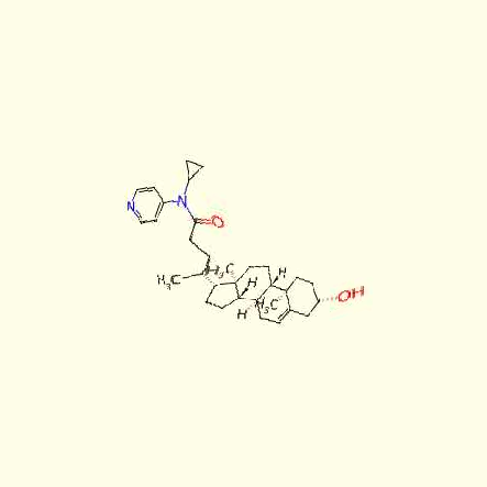 CC(CCC(=O)N(c1ccncc1)C1CC1)[C@H]1CC[C@H]2[C@@H]3CC=C4C[C@@H](O)CC[C@]4(C)[C@H]3CC[C@]12C